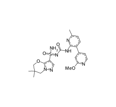 COc1cc(-c2ccc(C)nc2NC(=O)N=S(N)(=O)c2cnn3c2OCC(C)(C)C3)ccn1